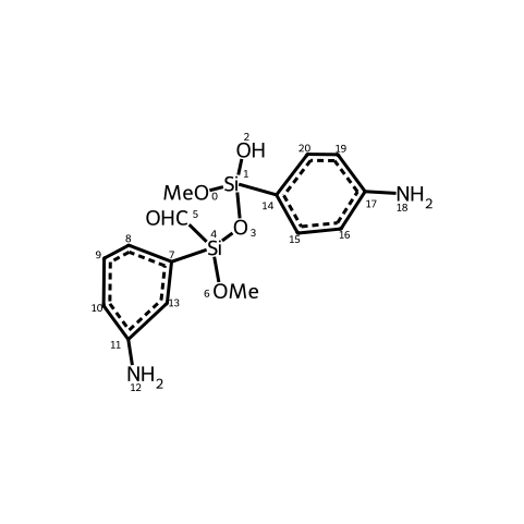 CO[Si](O)(O[Si](C=O)(OC)c1cccc(N)c1)c1ccc(N)cc1